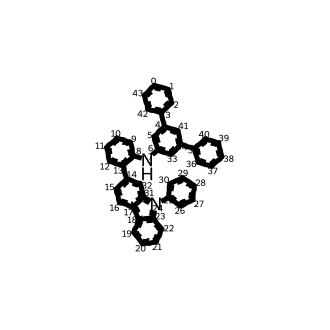 c1ccc(-c2cc(Nc3ccccc3-c3ccc4c5ccccc5n(-c5ccccc5)c4c3)cc(-c3ccccc3)c2)cc1